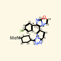 CNC1CCC(c2nnc3ccc(-c4c(-c5ccc(F)cc5)nc5occn45)cn23)CC1